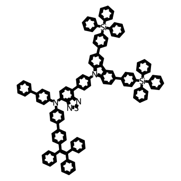 c1ccc(C(=C(c2ccccc2)c2ccc(-c3ccc(N(c4ccc(-c5ccccc5)cc4)c4ccc(-c5ccc(-n6c7ccc(-c8ccc([Si](c9ccccc9)(c9ccccc9)c9ccccc9)cc8)cc7c7cc(-c8ccc([Si](c9ccccc9)(c9ccccc9)c9ccccc9)cc8)ccc76)cc5)c5nsnc45)cc3)cc2)c2ccccc2)cc1